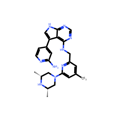 C[C@@H]1CN(c2cc(C(F)(F)F)cc(CNc3ncnc4[nH]cc(-c5ccnc(N)c5)c34)n2)C[C@H](C)N1